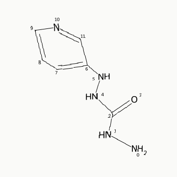 NNC(=O)NNc1cccnc1